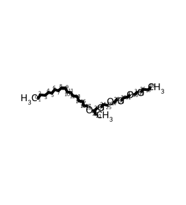 CCCCCCCC/C=C\CCCCCCCCOC(CC)COCCOCCOCCOCCOCCC